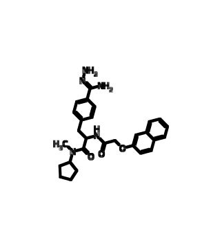 CN(C(=O)C(Cc1ccc(C(N)=NN)cc1)NC(=O)COc1ccc2ccccc2c1)C1CCCC1